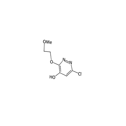 COCCOc1nnc(Cl)cc1O